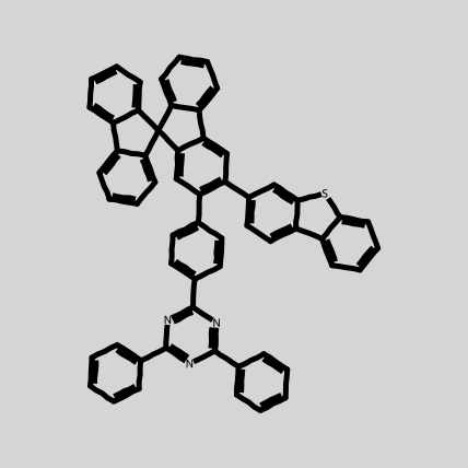 c1ccc(-c2nc(-c3ccccc3)nc(-c3ccc(-c4cc5c(cc4-c4ccc6c(c4)sc4ccccc46)-c4ccccc4C54c5ccccc5-c5ccccc54)cc3)n2)cc1